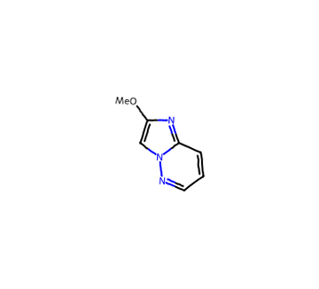 COc1cn2ncccc2n1